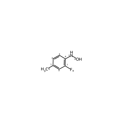 Cc1ccc(NO)c(F)c1